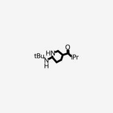 CC(C)C(=O)C1CCC(NC(C)(C)C)NC1